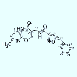 Cc1ccc2c(n1)OC[C@H](CNC(=O)c1cc(Cc3ccccc3)on1)C(=O)N2